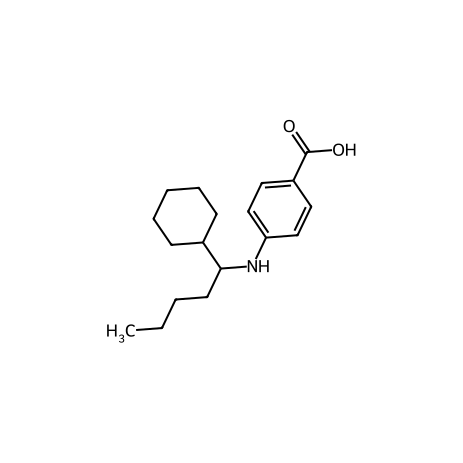 CCCCC(Nc1ccc(C(=O)O)cc1)C1CCCCC1